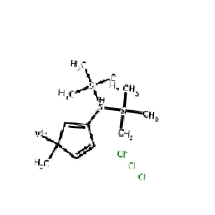 C[C]1([V+3])C=CC([SiH]([Si](C)(C)C)[Si](C)(C)C)=C1.[Cl-].[Cl-].[Cl-]